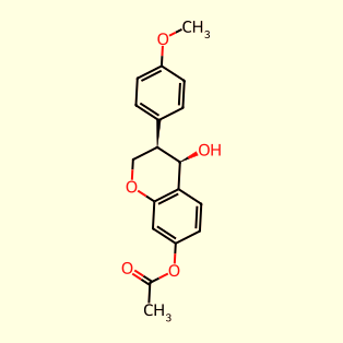 COc1ccc([C@@H]2COc3cc(OC(C)=O)ccc3[C@@H]2O)cc1